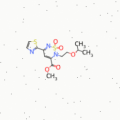 COC(=O)C1=CC(c2nccs2)=NS(=O)(=O)N1CCOC(C)C